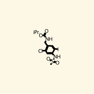 CC(C)OC(=O)NCc1cc(I)c(NS(C)(=O)=O)cc1Cl